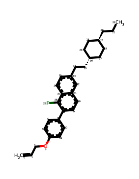 C=CCOc1ccc(-c2ccc3cc(CC[C@H]4CC[C@H](CCC)CC4)ccc3c2F)cc1